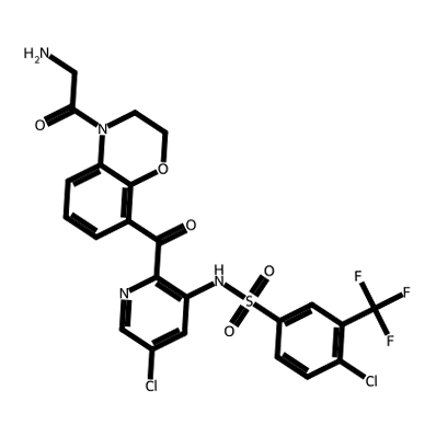 NCC(=O)N1CCOc2c(C(=O)c3ncc(Cl)cc3NS(=O)(=O)c3ccc(Cl)c(C(F)(F)F)c3)cccc21